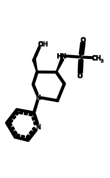 CS(=O)(=O)N[C@H]1CCN(c2ccccn2)C[C@H]1CO